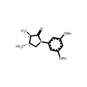 COc1cc(OC)cc(N2C[C@H](C(=O)O)[C@@H](C)C2=O)c1